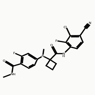 CNC(=O)c1ccc(N(C)C2(C(=O)Nc3ccc(C#N)c(Cl)c3F)CCC2)cc1F